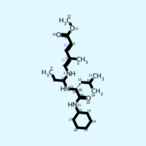 CCC(N/C=C(C)/C=C/C(=O)OC)N[C@H](CC(C)C)C(=O)NC1CCCCC1